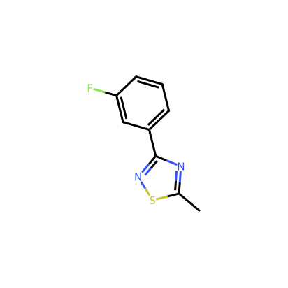 Cc1nc(-c2cccc(F)c2)ns1